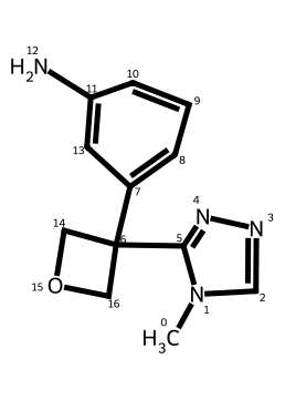 Cn1cnnc1C1(c2cccc(N)c2)COC1